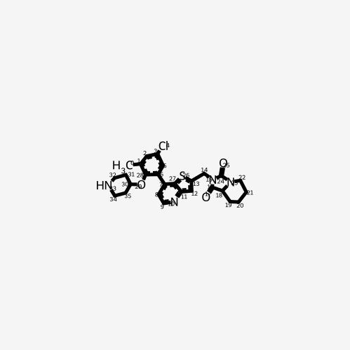 Cc1cc(Cl)cc(-c2ccnc3cc(CN4C(=O)C5CCCCN5C4=O)sc23)c1OC1CCNCC1